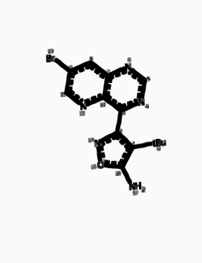 CC(C)(C)c1c(-c2ncnc3cc(Br)cnc23)noc1N